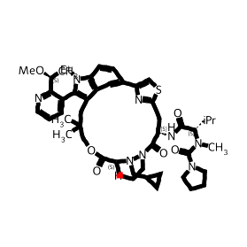 CCn1c(-c2cccnc2[C@H](C)OC)c2c3cc(ccc31)-c1csc(n1)C[C@H](NC(=O)[C@H](C(C)C)N(C)C(=O)N1CCCC1)C(=O)N1CCC[C@@H](C(=O)OCC(C)(C)C2)N1CC1CC1